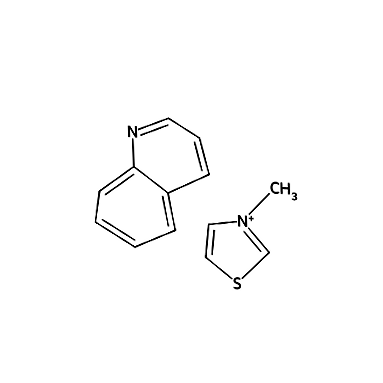 C[n+]1ccsc1.c1ccc2ncccc2c1